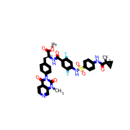 CC(C)OC(=O)[C@H](Cc1ccc(-n2c(=O)c3ccncc3n(C)c2=O)cc1)NC(=O)c1cc(F)c(NS(=O)(=O)c2ccc(NC(=O)C3(C(F)(F)F)CC3)cc2)cc1F